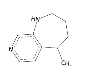 CC1CCCNc2cnccc21